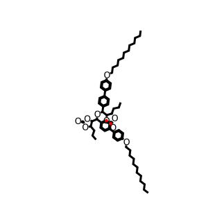 CCCCCCCCCCCCOc1ccc(-c2ccc(C(OC(c3ccc(-c4ccc(OCCCCCCCCCCCC)cc4)cc3)C3OC(=O)OC3CCC)C3OC(=O)OC3CCC)cc2)cc1